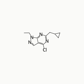 CCn1ncc2c(Cl)nc(CC3CC3)nc21